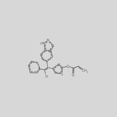 C=CC(=O)Oc1cc(/C(=C(\CC)c2ccccc2)c2ccc3[nH]ncc3c2)cs1